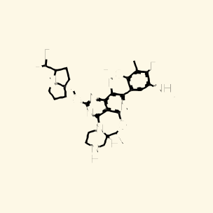 Cc1c(F)c(N)cc(-c2nc3c4c(nc(OC[C@]56CCCN5C(C(F)F)CC6)nc4c2F)N2CCNC[C@H]2[C@H](C)O3)c1C(F)(F)F